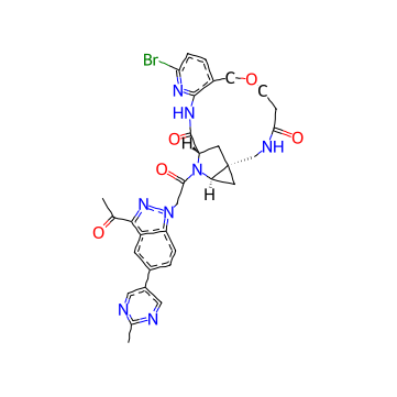 CC(=O)c1nn(CC(=O)N2[C@H]3C[C@@]4(CNC(=O)CCOCc5ccc(Br)nc5NC3=O)C[C@@H]24)c2ccc(-c3cnc(C)nc3)cc12